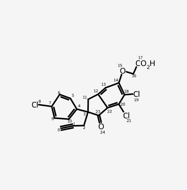 C#CCC1(c2ccc(Cl)cc2)Cc2cc(OCC(=O)O)c(Cl)c(Cl)c2C1=O